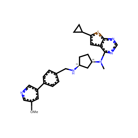 COc1cncc(-c2ccc(CN[C@H]3CC[C@@H](N(C)c4ncnc5sc(C6CC6)cc45)C3)cc2)c1